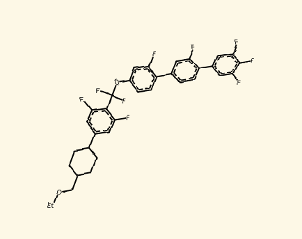 CCOCC1CCC(c2cc(F)c(C(F)(F)Oc3ccc(-c4ccc(-c5cc(F)c(F)c(F)c5)c(F)c4)c(F)c3)c(F)c2)CC1